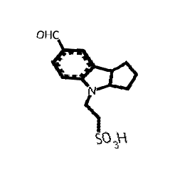 O=Cc1ccc2c(c1)C1CCCC1N2CCS(=O)(=O)O